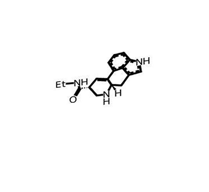 CCNC(=O)[C@@H]1C=C2c3cccc4[nH]cc(c34)C[C@@H]2NC1